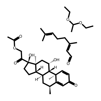 CC(=O)OCC(=O)[C@@]1(O)CC[C@H]2[C@@H]3C[C@H](C)C4=CC(=O)C=C[C@]4(C)[C@H]3[C@@H](O)C[C@@]21C.CC(C)=CCCC(C)=CC=O.CCOC(C)OCC